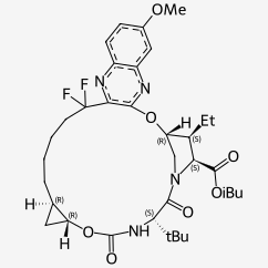 CC[C@@H]1[C@@H]2CN(C(=O)[C@H](C(C)(C)C)NC(=O)O[C@@H]3C[C@H]3CCCCC(F)(F)c3nc4ccc(OC)cc4nc3O2)[C@@H]1C(=O)OCC(C)C